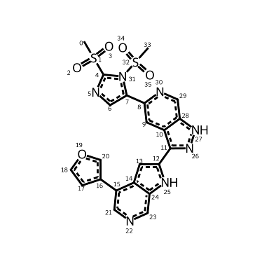 CS(=O)(=O)c1ncc(-c2cc3c(-c4cc5c(-c6ccoc6)cncc5[nH]4)n[nH]c3cn2)n1S(C)(=O)=O